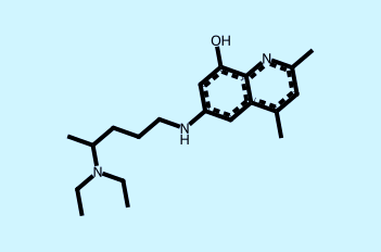 CCN(CC)C(C)CCCNc1cc(O)c2nc(C)cc(C)c2c1